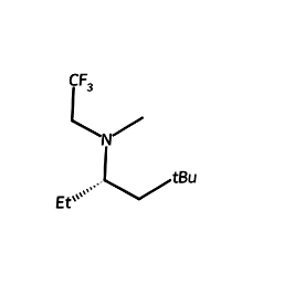 CC[C@@H](CC(C)(C)C)N(C)CC(F)(F)F